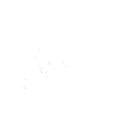 CCCCCc1ccc(C(=O)N2CC(=NOCc3ccc(OC)cc3)C[C@H]2C(=O)Nc2ccc3c(c2)c2ccccc2n3CC)c(=O)o1